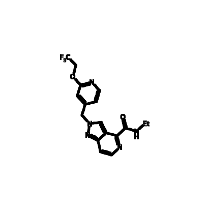 CCNC(=O)c1nccc2nn(Cc3ccnc(OCC(F)(F)F)c3)cc12